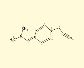 CN(C)C=C1C=CN(CC#N)C=C1